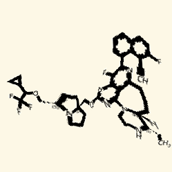 C#Cc1c(F)ccc2cccc(-c3nc4c5c(nc(OC[C@@]67CCCN6[C@H](COC(C6CC6)C(F)(F)F)CC7)nc5c3F)N3CCN[C@@H](CC)[C@H]3CCC4)c12